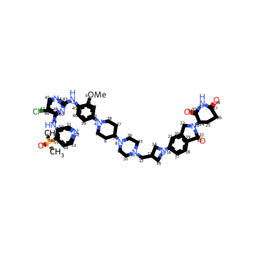 COc1cc(N2CCC(N3CCN(CC4CN(c5ccc6c(c5)CN(C5CCC(=O)NC5=O)C6=O)C4)CC3)CC2)ccc1Nc1ncc(Cl)c(Nc2cnccc2P(C)(C)=O)n1